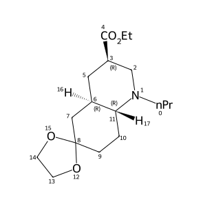 CCCN1C[C@H](C(=O)OCC)C[C@@H]2CC3(CC[C@H]21)OCCO3